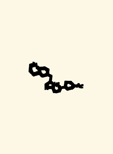 CC(=O)c1ccc(-c2ccc3ncc(Cc4ccc5ncccc5c4)n3n2)cc1